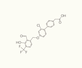 O=Cc1c(COc2ccc(-c3ccc(CC(=O)O)cc3)c(Cl)c2)ccc(C(F)(F)F)c1O